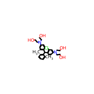 Cc1ccccc1C(c1ccc(N(CCO)CCO)cc1C)c1ccc(N(CCO)CCO)cc1Cl